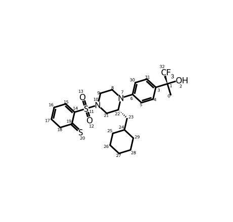 C[C@@](O)(c1ccc(N2CCN(S(=O)(=O)C3=CC=CCC3=S)C[C@H]2CC2CCCCC2)cc1)C(F)(F)F